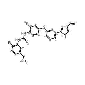 NCc1ccc(F)c(NC(=O)Nc2ccc(Oc3ccnc(-c4cc([C]=O)c[nH]4)c3)cc2F)c1